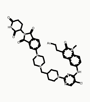 CC(=O)CCc1cc2cc(Nc3nc(N4CCC(CN5CCN(c6ccc7c(c6)C(=O)N(C6CCC(=O)NC6=O)C7=O)CC5)CC4)ncc3Cl)ccc2n(C)c1=O